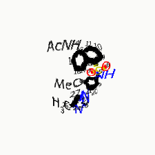 COc1cc(NS(=O)(=O)c2cccc3c(NC(C)=O)cccc23)ccc1-n1cnc(C)c1